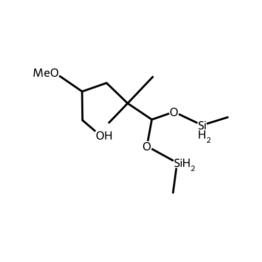 COC(CO)CC(C)(C)C(O[SiH2]C)O[SiH2]C